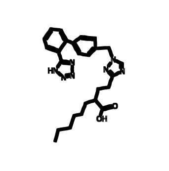 CCCCCCC(CCc1ncn(Cc2ccc(-c3ccccc3-c3nnn[nH]3)cc2)n1)C(=O)O